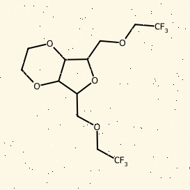 FC(F)(F)COCC1OC(COCC(F)(F)F)C2OCCOC12